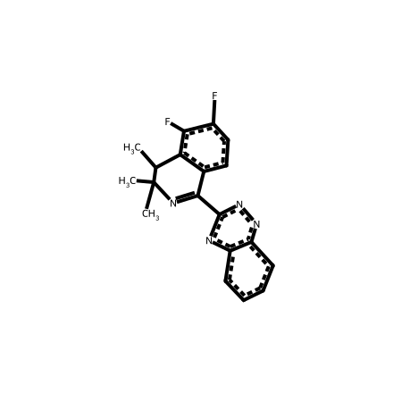 CC1c2c(ccc(F)c2F)C(c2nnc3ccccc3n2)=NC1(C)C